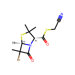 CC1(C)S[C@H]2N(C(=O)C2(C)Br)[C@H]1C(=O)SCC#N